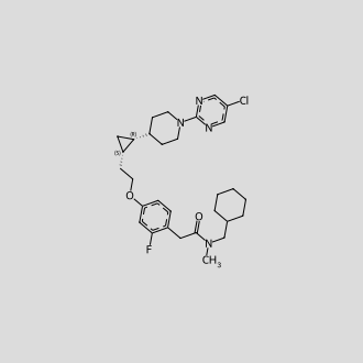 CN(CC1CCCCC1)C(=O)Cc1ccc(OCC[C@@H]2C[C@@H]2C2CCN(c3ncc(Cl)cn3)CC2)cc1F